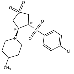 CC1CCN([C@H]2CS(=O)(=O)C[C@@H]2S(=O)(=O)c2ccc(Cl)cc2)CC1